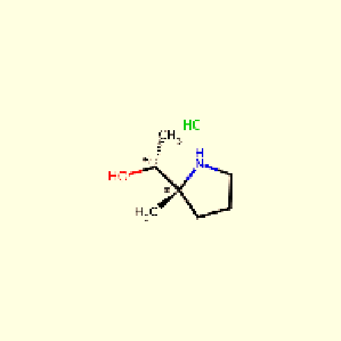 C[C@@H](O)[C@@]1(C)CCCN1.Cl